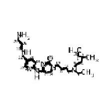 CCC(C)CCN(CC)CCCCn1ccc(Nc2ccc(CNCCCN)cn2)nc1=O